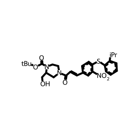 CC(C)c1ccccc1Sc1ccc(C=CC(=O)N2CCN(C(=O)OC(C)(C)C)C(CO)C2)cc1[N+](=O)[O-]